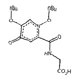 CCCCOc1cn(OCCCC)c(C(=O)NCC(=O)O)cc1=O